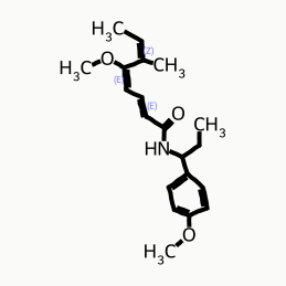 C\C=C(C)/C(=C\C=C\C(=O)NC(CC)c1ccc(OC)cc1)OC